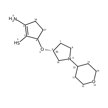 NC1=C(S)C(O[C@@H]2CCN(C3CCOCC3)C2)CC1